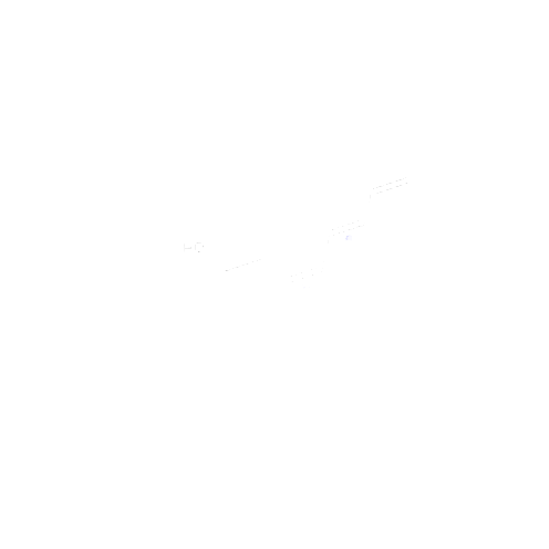 C=C/C=C/C=C\CCO